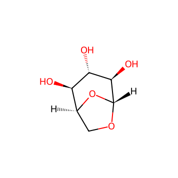 O[C@@H]1[C@@H](O)[C@@H]2OC[C@H](O2)[C@H]1O